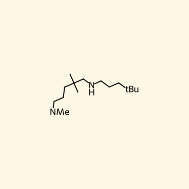 CNCCCC(C)(C)CNCCCC(C)(C)C